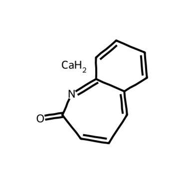 O=c1cccc2ccccc2n1.[CaH2]